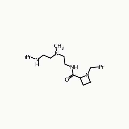 CC(C)CN1CCC1C(=O)NCCN(C)CCNC(C)C